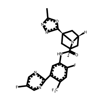 Cc1nnc([C@@]23C[C@@H](C)C[C@@H](C2)N3C(=O)Nc2cc(-c3ncc(F)cn3)c(C(F)(F)F)cc2F)o1